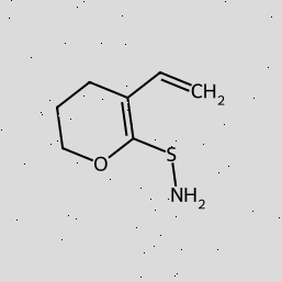 C=CC1=C(SN)OCCC1